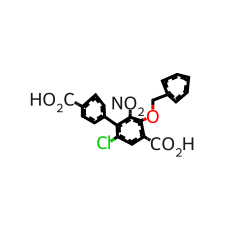 O=C(O)c1ccc(-c2c(Cl)cc(C(=O)O)c(OCc3ccccc3)c2[N+](=O)[O-])cc1